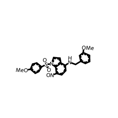 COc1ccc(S(=O)(=O)n2ccc3c(NCc4cccc(OC)c4)ccc(N=O)c32)cc1